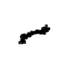 CC1(C)C(=O)N(c2ccc(C#N)c(Cl)c2)c2ccc(-c3ccc(N4CC(COC5CCN(c6ccc7c(c6)C(=O)N(C6CCC(=O)NC6=O)C7=O)C5)C4)cc3)cc21